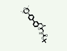 C[C@@H]1CN(c2ccc(-c3cccc(CN(C)C(=O)CNC(=O)OC(C)(C)C)c3)cc2)C[C@H](C)O1